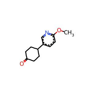 COc1ccc(C2CCC(=O)CC2)cn1